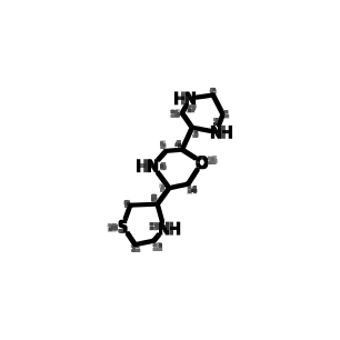 C1CNC(C2CNC(C3CSCCN3)CO2)CN1